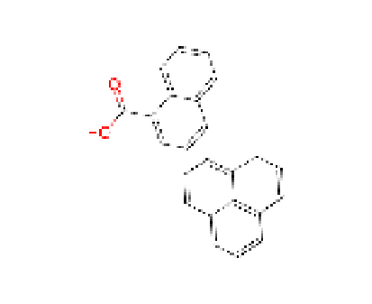 C1=Cc2cccc3cccc(c23)C1.O=C(O)c1cccc2ccccc12